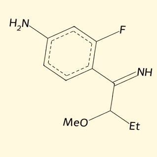 CCC(OC)C(=N)c1ccc(N)cc1F